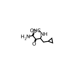 NC(=O)C(=O)C(CC1CC1)NC=O